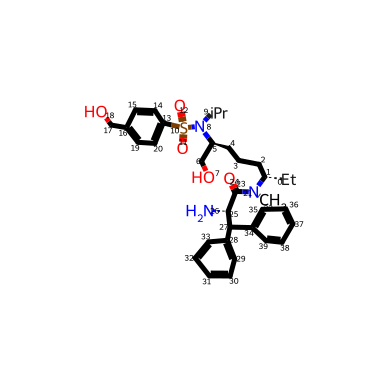 CC[C@@H](CCC[C@@H](CO)N(C(C)C)S(=O)(=O)c1ccc(CO)cc1)N(C)C(=O)[C@@H](N)C(c1ccccc1)c1ccccc1